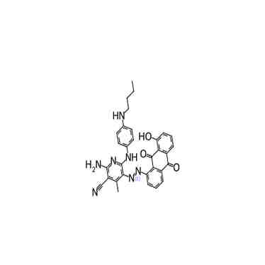 CCCCNc1ccc(Nc2nc(N)c(C#N)c(C)c2/N=N/c2cccc3c2C(=O)c2c(O)cccc2C3=O)cc1